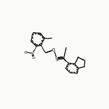 C/C(=N\OCc1c(C)cccc1[N+](=O)[O-])c1cccc2c1CCC2